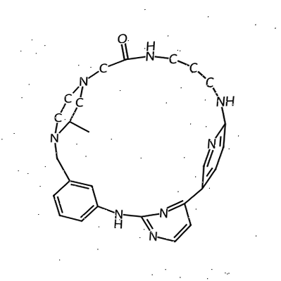 CC1CN2CCN1Cc1cccc(c1)Nc1nccc(n1)-c1ccc(nc1)NCCCNC(=O)C2